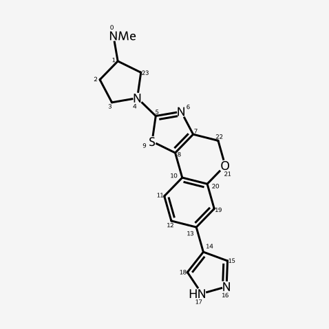 CNC1CCN(c2nc3c(s2)-c2ccc(-c4cn[nH]c4)cc2OC3)C1